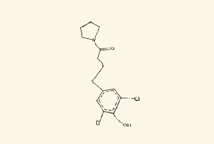 O=C(CCSc1cc(Cl)c(O)c(Cl)c1)N1CCCC1